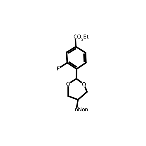 CCCCCCCCCC1COC(c2ccc(C(=O)OCC)cc2F)OC1